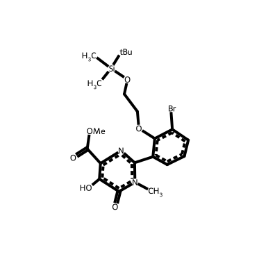 COC(=O)c1nc(-c2cccc(Br)c2OCCO[Si](C)(C)C(C)(C)C)n(C)c(=O)c1O